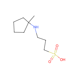 CC1(NCCCS(=O)(=O)O)CCCC1